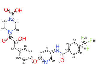 O=C(Nc1ccc(Oc2ccc(CC(O)C(=O)N3CCN(C(=O)O)CC3)cc2)nc1)c1ccc(C(F)(F)F)cc1